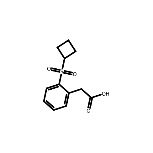 O=C(O)Cc1ccccc1S(=O)(=O)C1CCC1